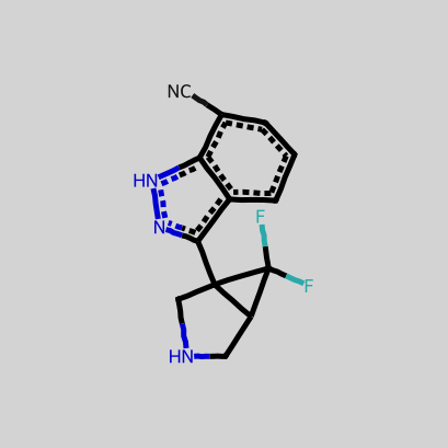 N#Cc1cccc2c(C34CNCC3C4(F)F)n[nH]c12